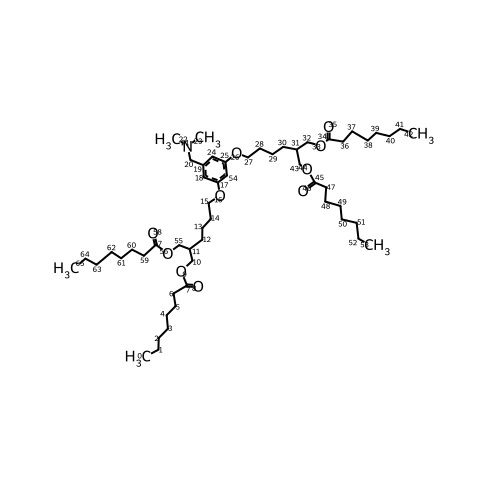 CCCCCCCC(=O)OCC(CCCCOc1cc(CN(C)C)cc(OCCCCC(COC(=O)CCCCCCC)COC(=O)CCCCCCC)c1)COC(=O)CCCCCCC